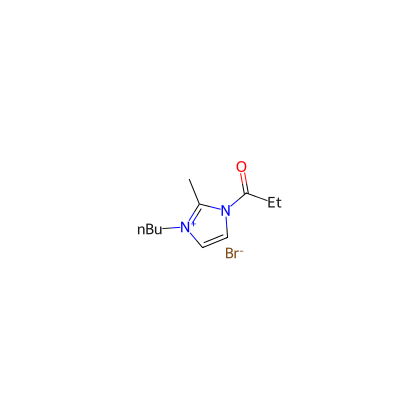 CCCC[n+]1ccn(C(=O)CC)c1C.[Br-]